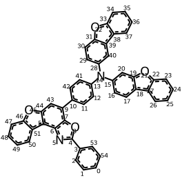 c1ccc(-c2nc3c(o2)c(-c2ccc(N(c4ccc5c(c4)oc4ccccc45)c4ccc5oc6ccccc6c5c4)cc2)cc2oc4ccccc4c23)cc1